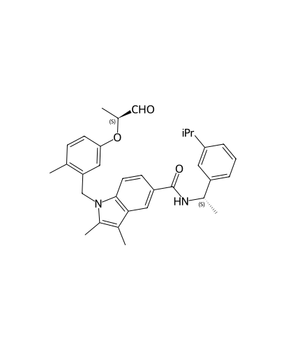 Cc1ccc(O[C@@H](C)C=O)cc1Cn1c(C)c(C)c2cc(C(=O)N[C@@H](C)c3cccc(C(C)C)c3)ccc21